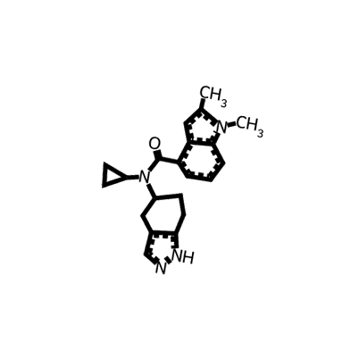 Cc1cc2c(C(=O)N(C3CC3)C3CCc4[nH]ncc4C3)cccc2n1C